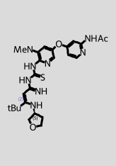 CNc1cc(Oc2ccnc(NC(C)=O)c2)cnc1NC(=S)NC(=N)/C=C(\N[C@H]1CCOC1)C(C)(C)C